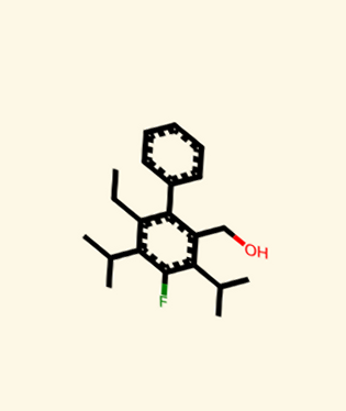 CCc1c(-c2ccccc2)c(CO)c(C(C)C)c(F)c1C(C)C